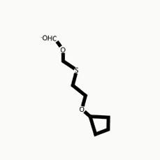 O=[C]OCSCCOC1CCC1